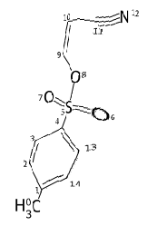 Cc1ccc(S(=O)(=O)O/C=C\C#N)cc1